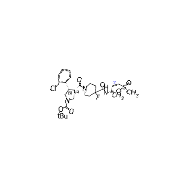 C[C@H](/C=C\S(C)(=O)=O)NC(=O)C1(F)CCN(C(=O)[C@@H]2CN(C(=O)OC(C)(C)C)C[C@@H]2c2ccccc2Cl)CC1